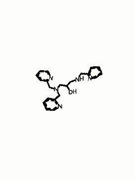 OC(CNCc1ccccn1)CN(Cc1ccccn1)Cc1ccccn1